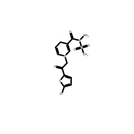 CS(=O)(=O)N(N)C(=O)C1=CN(CC(=O)c2ccc(Cl)s2)C=CC1